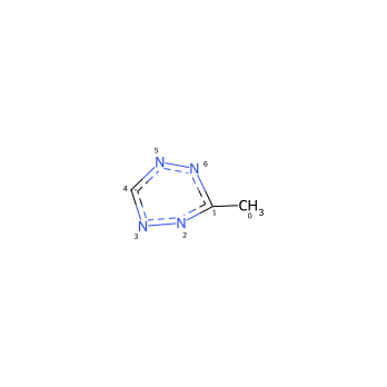 Cc1nn[c]nn1